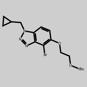 CC(C)(C)OCCOc1ccc2c(nnn2CC2CC2)c1Br